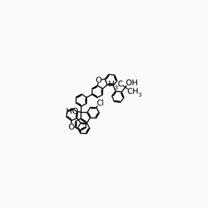 CC(C)(O)c1ccccc1-c1cccc2oc3cc(-c4cccc(C(O)(c5ccccc5)c5cc(Cl)ccc5-c5cccc6oc7ccccc7c56)c4)ccc3c12